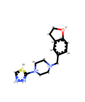 c1nnc(N2CCN(Cc3ccc4c(c3)CCO4)CC2)s1